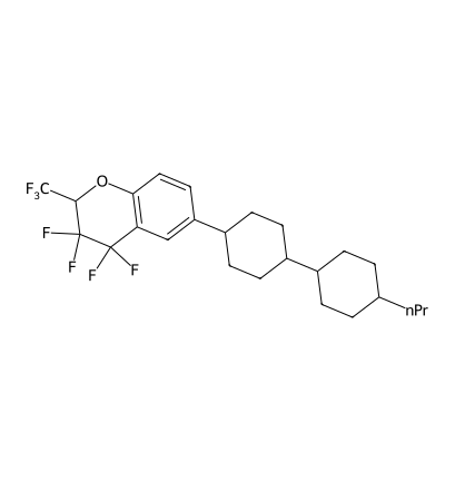 CCCC1CCC(C2CCC(c3ccc4c(c3)C(F)(F)C(F)(F)C(C(F)(F)F)O4)CC2)CC1